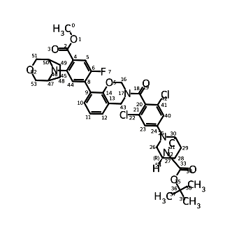 COC(=O)c1cc(F)c(-c2cccc3c2OCN(C(=O)c2c(Cl)cc(N4C[C@H]5CCC4CN5C(=O)OC(C)(C)C)cc2Cl)C3)cc1N1C2CCC1COC2